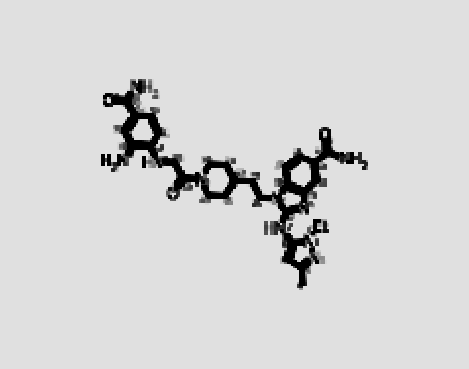 CCn1nc(C)cc1Nc1nc2cc(C(N)=O)ccc2n1CCC1CCN(C(=O)CNc2ccc(C(N)=O)cc2N)CC1